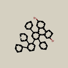 Brc1ccc2c3ccc(Br)cc3c3c(-c4ccccc4)c(-c4cccc(-c5ccccc5)c4-c4ccccc4)cc(-c4ccccc4)c3c2c1